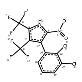 O=[N+]([O-])c1[nH]c(C(F)(F)F)c(C(F)(F)F)c1-c1cccc(Cl)c1Cl